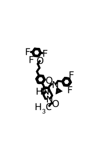 CC(=O)N1CC2CC(c3ccc(CCCOc4c(F)ccc(F)c4F)cc3)=C(C(=O)N(Cc3cc(F)cc(F)c3)C3CC3)C(C1)N2